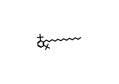 [CH2]CCCCCCCCCCCCc1c(C(C)(C)C)cccc1C(C)(C)C